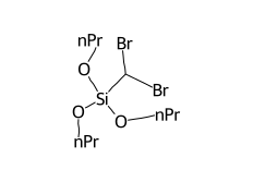 CCCO[Si](OCCC)(OCCC)C(Br)Br